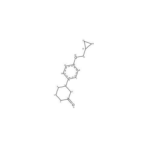 O=C1CCCC(c2ccc(OCC3CC3)cc2)C1